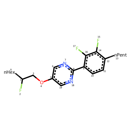 CCCCCCC(F)COc1cnc(-c2ccc(CCCCC)c(F)c2F)nc1